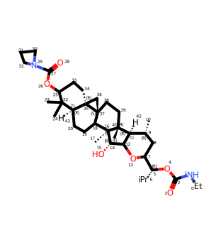 CCNC(=O)O[C@H](C(C)C)C1C[C@@H](C)[C@H]2C(O1)[C@H](O)[C@@]1(C)C3CC[C@H]4C(C)(C)C(OC(=O)N5CCC5)CC[C@@]45C[C@@]35CC[C@]21C